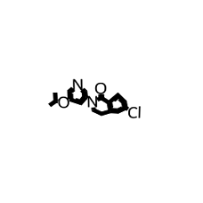 CC(C)Oc1cncc(N2CCc3cc(Cl)ccc3C2=O)c1